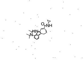 CC(C)N(c1cccc2c3c([nH]c12)C=C(C(=O)NC1CC1)C=CC3)C(C)C